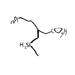 CCCCC([SiH2]C)C(=O)O